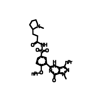 CCCOc1ccc(S(=O)(=O)NC(=O)CCC2CCCN2C)cc1-c1nc(=O)c2c([nH]1)c(CCC)nn2C